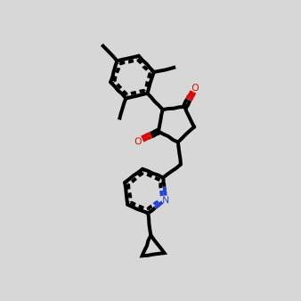 Cc1cc(C)c(C2C(=O)CC(Cc3cccc(C4CC4)n3)C2=O)c(C)c1